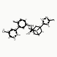 Cc1noc(C23CC(C)CC(C2)N3C(=O)Nc2ccc(C)c(-c3cc(Cl)cnn3)c2)n1